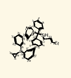 CCC=CC[SiH2]C(c1ccccc1)(c1ccccc1)n1ccnc1.c1ccc(B(c2ccccc2)C2CC2)cc1